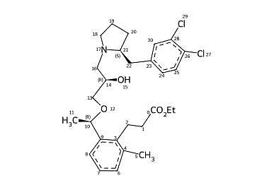 CCOC(=O)CCc1c(C)cccc1[C@@H](C)OC[C@H](O)CN1CCC[C@H]1Cc1ccc(Cl)c(Cl)c1